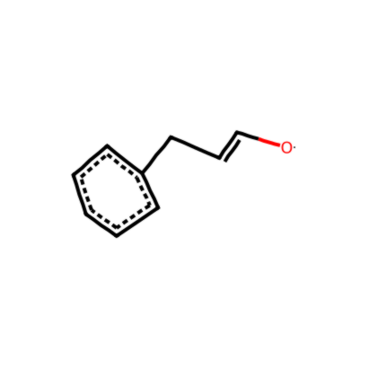 [O]C=CCc1ccccc1